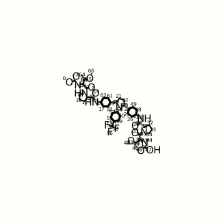 COC(=O)N[C@H](C(=O)N1CCCC1C(=O)Nc1ccc([C@H]2CC[C@H](c3ccc(NC(=O)[C@@H]4CCCN4C(=O)[C@H]([C@@H](C)OC)N(C)C(=O)O)cc3)N2c2ccc(C(F)(F)F)cc2)cc1)[C@@H](C)OC